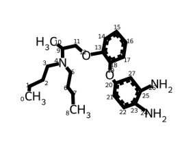 CCCCN(CCCC)C(C)COc1ccccc1Oc1ccc(N)c(N)c1